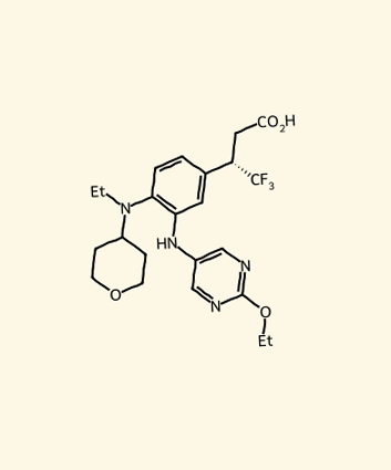 CCOc1ncc(Nc2cc([C@H](CC(=O)O)C(F)(F)F)ccc2N(CC)C2CCOCC2)cn1